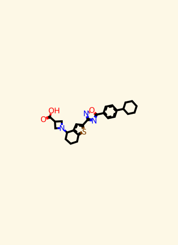 O=C(O)C1CN(C2CCCc3sc(-c4noc(-c5ccc(C6CCCCC6)cc5)n4)cc32)C1